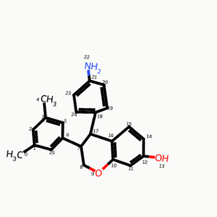 Cc1cc(C)cc(C2COc3cc(O)ccc3C2c2ccc(N)cc2)c1